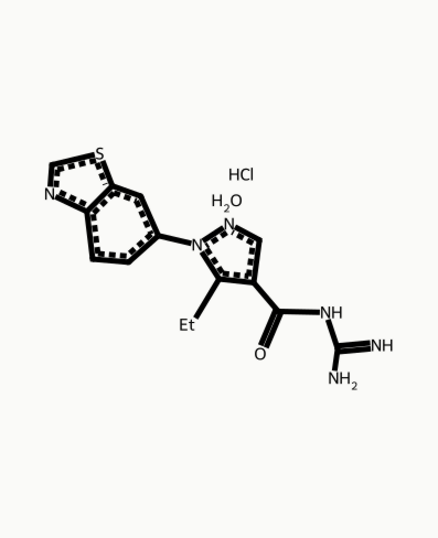 CCc1c(C(=O)NC(=N)N)cnn1-c1ccc2ncsc2c1.Cl.O